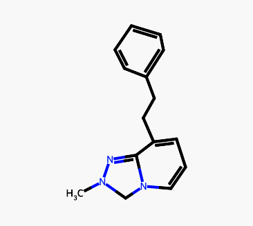 CN1CN2C=CC=C(CCc3ccccc3)C2=N1